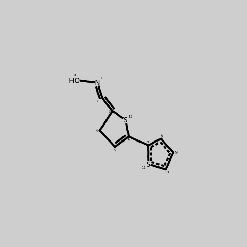 ON=C=C1CC=C(c2cccs2)S1